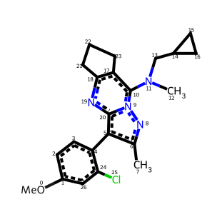 COc1ccc(-c2c(C)nn3c(N(C)CC4CC4)c4c(nc23)CCC4)c(Cl)c1